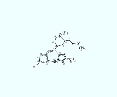 CSCC[C@H]1CN(C2=Nc3ccc(F)cc3Nc3sc(C)cc32)CCN1C